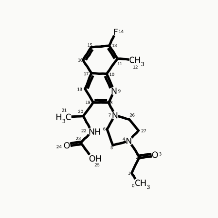 CCC(=O)N1CCN(c2nc3c(C)c(F)ccc3cc2C(C)NC(=O)O)CC1